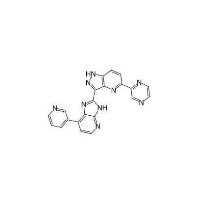 c1cncc(-c2ccnc3[nH]c(-c4n[nH]c5ccc(-c6cnccn6)nc45)nc23)c1